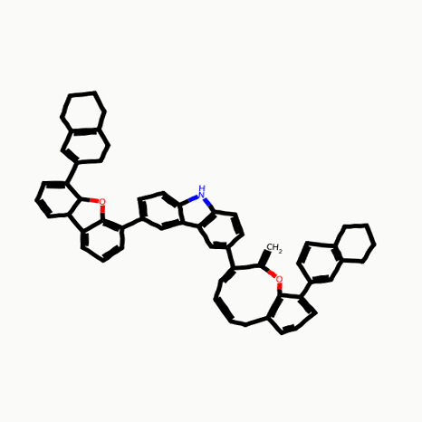 C=C1Oc2c(cccc2-c2ccc3c(c2)CCCC3)C/C=C\C=C/1c1ccc2[nH]c3ccc(-c4cccc5c4OC4C(C6=CC7=C(CCCC7)CC6)=CC=CC54)cc3c2c1